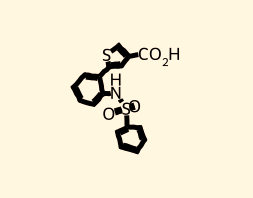 O=C(O)c1csc(-c2ccccc2NS(=O)(=O)c2ccccc2)c1